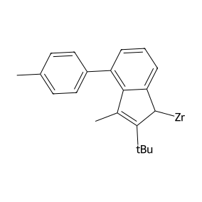 CC1=C(C(C)(C)C)[CH]([Zr])c2cccc(-c3ccc(C)cc3)c21